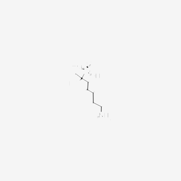 CC(O)(CCCCCN)P(=O)(O)O